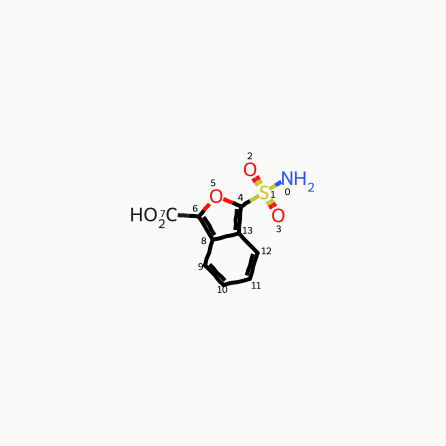 NS(=O)(=O)c1oc(C(=O)O)c2ccccc12